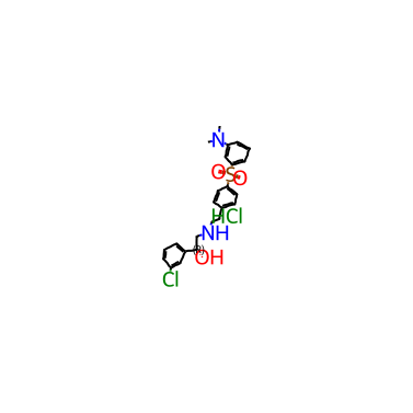 CN(C)c1cccc(S(=O)(=O)c2ccc(CCNC[C@H](O)c3cccc(Cl)c3)cc2)c1.Cl